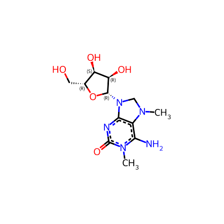 CN1CN([C@@H]2O[C@H](CO)[C@@H](O)[C@H]2O)c2nc(=O)n(C)c(N)c21